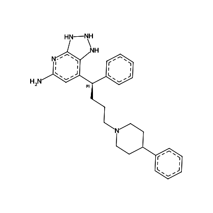 Nc1cc([C@H](CCCN2CCC(c3ccccc3)CC2)c2ccccc2)c2c(n1)NNN2